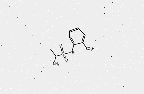 CC(N)S(=O)(=O)Nc1ccccc1S(=O)(=O)O